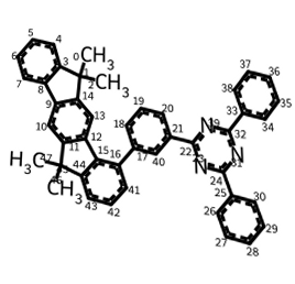 CC1(C)c2ccccc2-c2cc3c(cc21)-c1c(-c2cccc(-c4nc(-c5ccccc5)nc(-c5ccccc5)n4)c2)cccc1C3(C)C